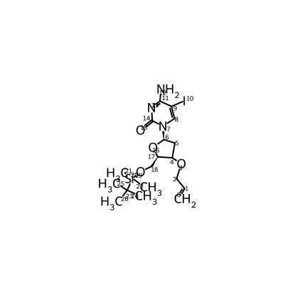 C=CCOC1C[C@H](n2cc(I)c(N)nc2=O)O[C@@H]1CO[Si](C)(C)C(C)(C)C